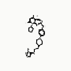 Cc1cc(=O)n(C2CCCC2)c2nc(Nc3ccc(N4CCC(CCSc5cnn[nH]5)CC4)cc3)ncc12